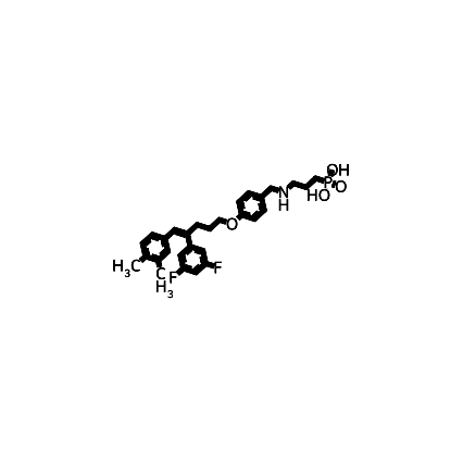 Cc1ccc(C=C(CCCOc2ccc(CNCCCP(=O)(O)O)cc2)c2cc(F)cc(F)c2)cc1C